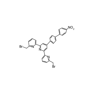 O=[N+]([O-])c1ccc(-c2ccc(-c3cc(-c4cccc(CBr)n4)nc(-c4cccc(CBr)n4)c3)cc2)cc1